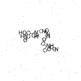 Cn1nc(C(=O)N2CCC(CNC[C@H](O)c3ccc(O)c4[nH]c(=O)ccc34)CC2)cc1COc1cccc([C@@H](NC(=O)OC2CN3CCC2CC3)c2ccccc2)c1